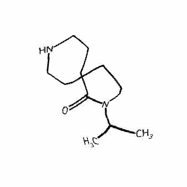 CC(C)N1CCC2(CCNCC2)C1=O